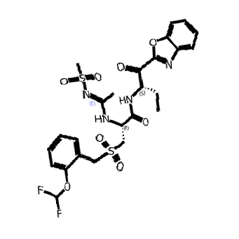 CC[C@H](NC(=O)[C@H](CS(=O)(=O)Cc1ccccc1OC(F)F)N/C(C)=N/S(C)(=O)=O)C(=O)c1nc2ccccc2o1